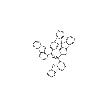 O=C(c1ccc2c(c1)C1(c3ccccc3-2)c2ccccc2-c2ccc(C(=O)c3cccc4c3oc3ccccc34)cc21)c1cccc2c1SC1C=CC=CC21